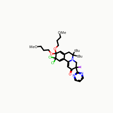 COCCCOC1(OCCCOC)C=C2CC(C(C)(C)C)(C(C)(C)C)N3CC(I)(c4ncccn4)C(=O)C=C3C2=CC1(Cl)Cl